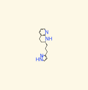 c1cnc2c(c1)CC[C@H](CCCc1cc[nH]n1)N2